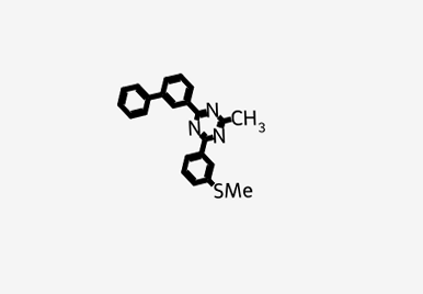 CSc1cccc(-c2nc(C)nc(-c3cccc(-c4ccccc4)c3)n2)c1